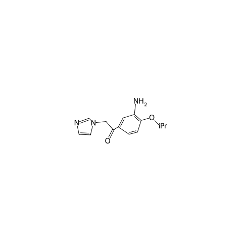 CC(C)Oc1ccc(C(=O)Cn2ccnc2)cc1N